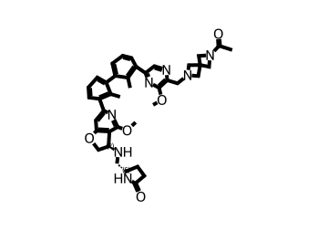 COc1nc(-c2cccc(-c3cccc(-c4cc5c(c(OC)n4)[C@@H](NC[C@@H]4CCC(=O)N4)CO5)c3C)c2C)cnc1CN1CC2(C1)CN(C(C)=O)C2